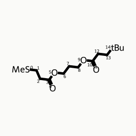 CSCCC(=O)OCCCOC(=O)CCC(C)(C)C